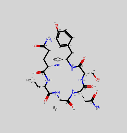 CC[C@H](C)[C@H](NC(=O)[C@H](CC(=O)O)NC(=O)[C@@H](N)CCC(N)=O)C(=O)N[C@@H](CC(N)=O)C(=O)N[C@@H](CO)C(=O)N[C@@H](Cc1ccc(O)cc1)C(=O)O